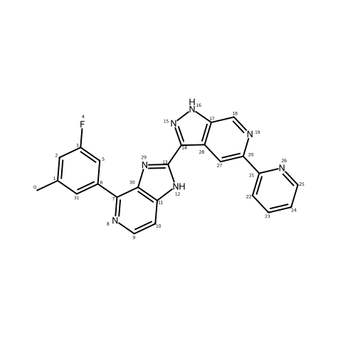 Cc1cc(F)cc(-c2nccc3[nH]c(-c4n[nH]c5cnc(-c6ccccn6)cc45)nc23)c1